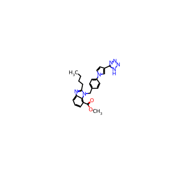 CCCCc1nc2cccc(C(=O)OC)c2n1Cc1ccc(-n2ccc(-c3nnn[nH]3)c2)cc1